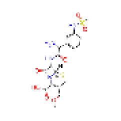 COCC1=C(C(=O)O)N2C(=O)C(NC(=O)C(N)c3cccc(NS(C)(=O)=O)c3)[C@@H]2SC1